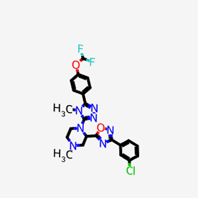 CN1CCN(c2nnc(-c3ccc(OC(F)F)cc3)n2C)C(c2nc(-c3cccc(Cl)c3)no2)C1